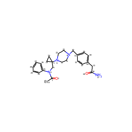 CCC(=O)N(CC1(N2CCN(Cc3ccc(CC(N)=O)cc3)CC2)CC1)c1ccccc1